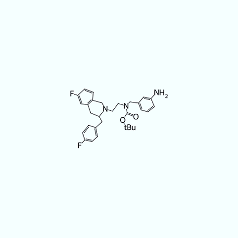 CC(C)(C)OC(=O)N(CCN1Cc2ccc(F)cc2CC1Cc1ccc(F)cc1)Cc1cccc(N)c1